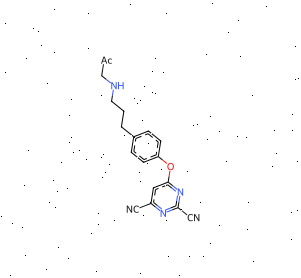 CC(=O)CNCCCc1ccc(Oc2cc(C#N)nc(C#N)n2)cc1